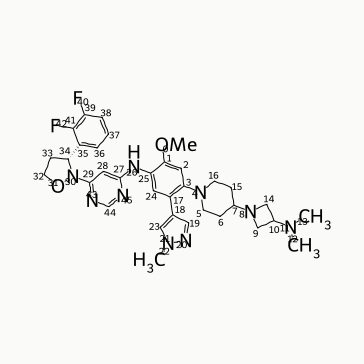 COc1cc(N2CCC(N3CC(N(C)C)C3)CC2)c(-c2cnn(C)c2)cc1Nc1cc(N2OCC[C@@H]2c2cccc(F)c2F)ncn1